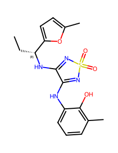 CC[C@@H](NC1=NS(=O)(=O)N=C1Nc1cccc(C)c1O)c1ccc(C)o1